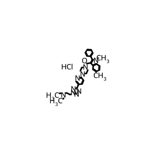 CCN(CC)CCn1nnc(-c2ccc(N3CCN(C(=O)c4c(-c5ccccc5)n(C)c5ccc(C)cc45)CC3)nc2)n1.Cl